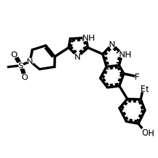 CCc1cc(O)ccc1-c1ccc2c(-c3nc(C4=CCN(S(C)(=O)=O)CC4)c[nH]3)n[nH]c2c1F